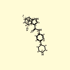 C[C@@]12Cc3[nH]nc(C(=O)Nc4ccc(C5CCNCC5)nc4)c3[C@@H](C1)C2(F)F